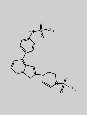 CS(=O)(=O)Nc1ccc(-c2ccnc3[nH]c(C4C=CN(S(C)(=O)=O)CC4)cc23)cc1